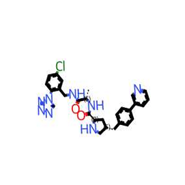 C[C@H](NC(=O)[C@H]1C[C@H](Cc2ccc(-c3cccnc3)cc2)CN1)C(=O)NCc1cc(Cl)ccc1-n1cnnn1